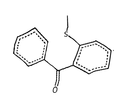 CSc1c[c]ccc1C(=O)c1ccccc1